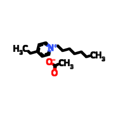 CC(=O)[O-].CCCCCCC[n+]1ccc(CC)cc1